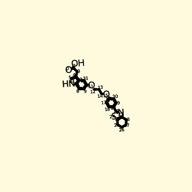 O=C(O)Cc1c[nH]c2ccc(OCCCOc3ccc(-c4nc5c(s4)CCCC5)cc3)cc12